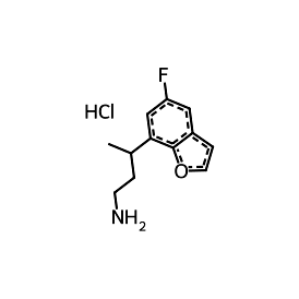 CC(CCN)c1cc(F)cc2ccoc12.Cl